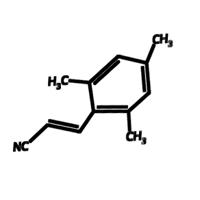 Cc1cc(C)c(C=CC#N)c(C)c1